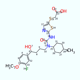 COc1ccc(C(O)CCCN(C(=O)Nc2ncc(SCC(=O)O)s2)C2CCC(C)CC2)cc1F